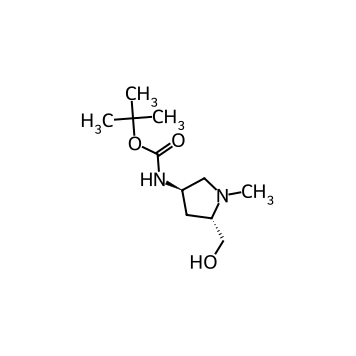 CN1C[C@H](NC(=O)OC(C)(C)C)C[C@H]1CO